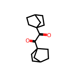 O=C(C(=O)C12CCC(CC1)C2)C12CCC(CC1)C2